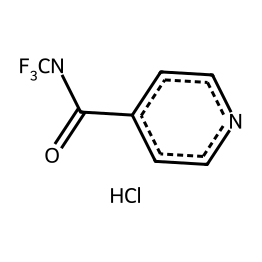 Cl.O=C(NC(F)(F)F)c1ccncc1